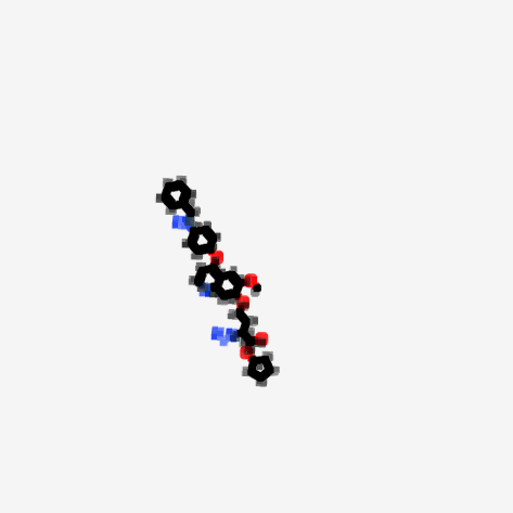 COc1cc2c(Oc3ccc(NCc4ccccc4)cc3)ccnc2cc1OCCC(N)C(=O)OC1CCCC1